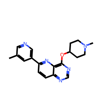 Cc1cncc(-c2ccc3ncnc(OC4CCN(C)CC4)c3n2)c1